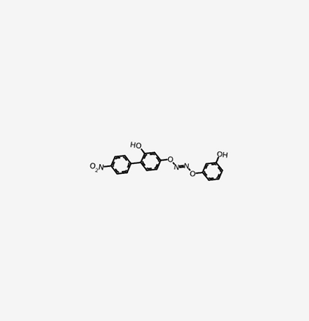 O=[N+]([O-])c1ccc(-c2ccc(ON=NOc3cccc(O)c3)cc2O)cc1